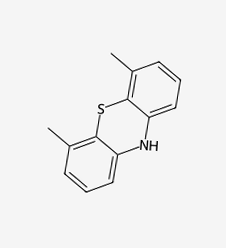 Cc1cccc2c1Sc1c(C)cccc1N2